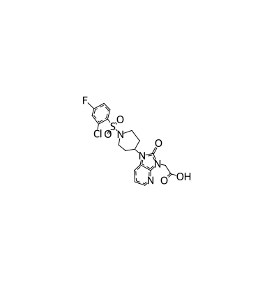 O=C(O)Cn1c(=O)n(C2CCN(S(=O)(=O)c3ccc(F)cc3Cl)CC2)c2cccnc21